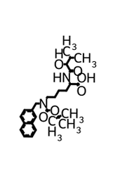 CC(C)C(O)C(=O)NC(CCCCN(Cc1ccc2ccccc2c1)C(=O)OC(C)(C)C)C(=O)O